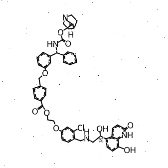 O=C(NC(c1ccccc1)c1cccc(OCc2ccc(C(=O)OCCOc3ccc(CNC[C@@H](O)c4ccc(O)c5[nH]c(=O)ccc45)c(Cl)c3)cc2)c1)O[C@H]1CN2CCC1CC2